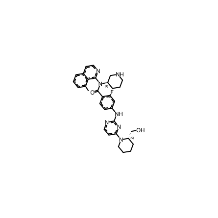 Cc1cccc2ccnc(N(C(=O)c3ccc(Nc4nccc(N5CCCC[C@H]5CO)n4)cc3F)[C@@H]3CCCNC3)c12